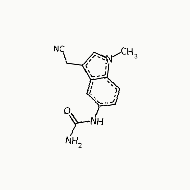 Cn1cc(CC#N)c2cc(NC(N)=O)ccc21